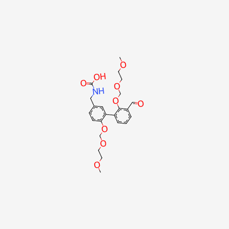 COCCOCOc1ccc(CNC(=O)O)cc1-c1cccc(C=O)c1OCOCCOC